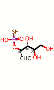 O=C[C@H](OP(=O)(O)S)[C@H](O)[C@H](O)CO